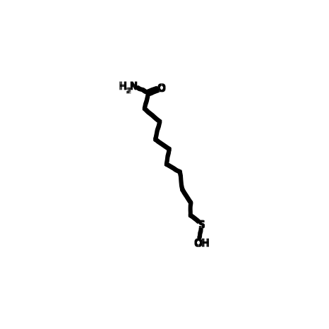 NC(=O)CCCCCCCCCSO